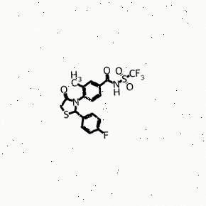 Cc1cc(C(=O)NS(=O)(=O)C(F)(F)F)ccc1N1C(=O)CSC1c1ccc(F)cc1